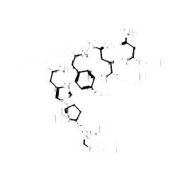 NC(=O)CC[C@H](N)C(=O)O.NC(=O)C[C@H](N)C(=O)O.NCC(=O)O.N[C@@H](Cc1c[nH]cn1)C(=O)O.N[C@@H](Cc1ccc(O)cc1)C(=O)O.O=C(O)[C@@H]1CCCN1